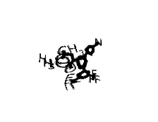 CC(C)CC(C(=O)O)c1cc(-c2ccc(C#N)cc2)cc(-c2cc(C(F)(F)F)cc(C(F)(F)F)c2)c1